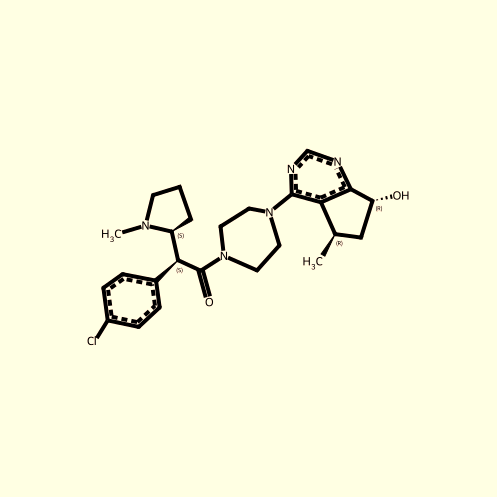 C[C@@H]1C[C@@H](O)c2ncnc(N3CCN(C(=O)[C@@H](c4ccc(Cl)cc4)[C@@H]4CCCN4C)CC3)c21